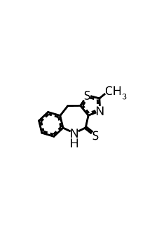 Cc1nc2c(s1)Cc1ccccc1NC2=S